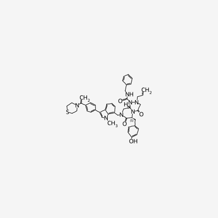 C=CCN1CC(=O)N2[C@@H](Cc3ccc(O)cc3)C(=O)N(Cc3cccc4c(-c5ccc(C(=C)N6CCSCC6)cc5)cn(C)c34)C[C@@H]2N1C(=O)NCc1ccccc1